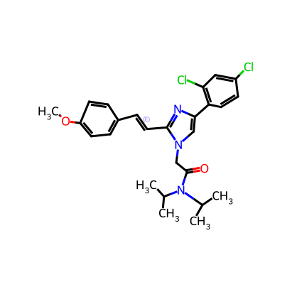 COc1ccc(/C=C/c2nc(-c3ccc(Cl)cc3Cl)cn2CC(=O)N(C(C)C)C(C)C)cc1